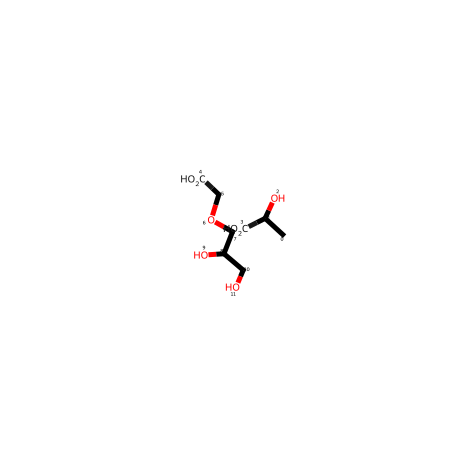 CC(O)C(=O)O.O=C(O)COCC(O)CO